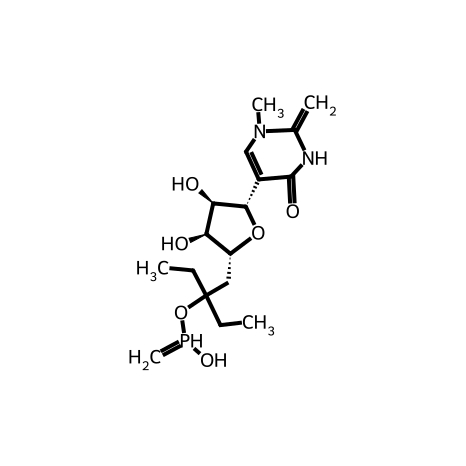 C=C1NC(=O)C([C@@H]2O[C@H](CC(CC)(CC)O[PH](=C)O)[C@@H](O)[C@H]2O)=CN1C